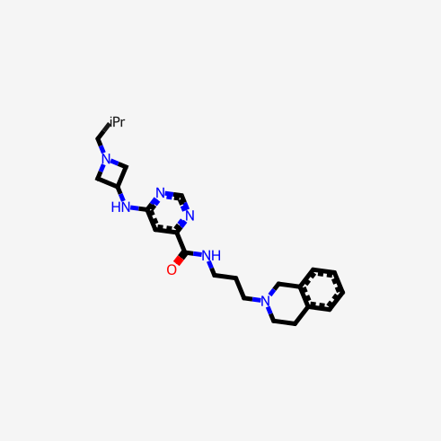 CC(C)CN1CC(Nc2cc(C(=O)NCCCN3CCc4ccccc4C3)ncn2)C1